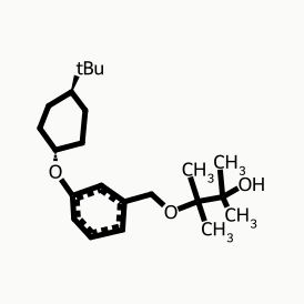 CC(C)(O)C(C)(C)OCc1cccc(O[C@H]2CC[C@H](C(C)(C)C)CC2)c1